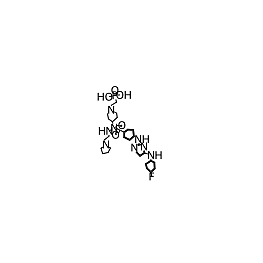 O=P(O)(O)CCN1CCC(N(NCCN2CCCC2)S(=O)(=O)c2ccc(Nc3nccc(Nc4ccc(F)cc4)n3)cc2)CC1